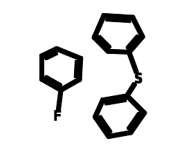 Fc1ccccc1.c1ccc(Sc2ccccc2)cc1